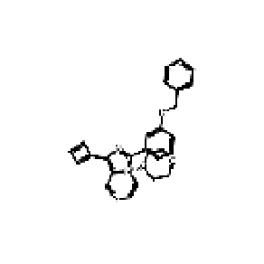 C1=CC(C2=C3C=NC=C[N+]3(N3CCOCC3)C(c3cccc(OCc4ccccc4)c3)=N2)=C1